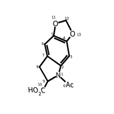 CC(=O)N1c2cc3c(cc2CC1C(=O)O)OCO3